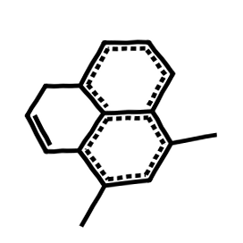 Cc1cc(C)c2cccc3c2c1C=CC3